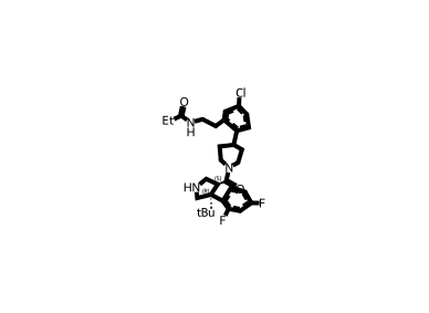 CCC(=O)NCCc1cc(Cl)ccc1C1CCN(C(=O)[C@@H]2CNC[C@@]2(c2ccc(F)cc2F)C(C)(C)C)CC1